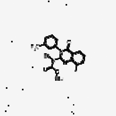 CCN(C(=O)OC(C)(C)C)c1nc2c(C)cccc2c(=O)n1-c1cccc(C(F)(F)F)c1